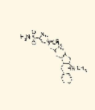 CNC1Cc2cc(F)c(C[N+]3(C)C=NC(S(N)(=O)=O)=C3)cc2C1Cc1ccccc1